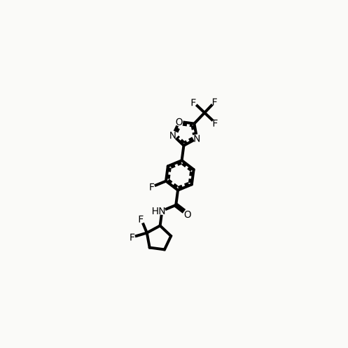 O=C(NC1CCCC1(F)F)c1ccc(-c2noc(C(F)(F)F)n2)cc1F